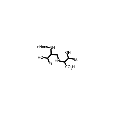 CCCCCCCCCNC(CNC(C(=O)O)C(O)CC)C(O)CC